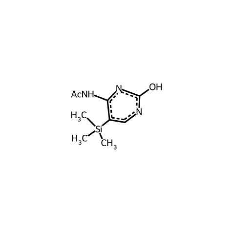 CC(=O)Nc1nc(O)ncc1[Si](C)(C)C